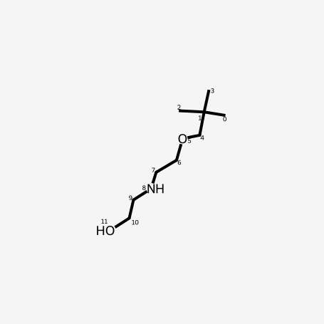 CC(C)(C)COCCNCCO